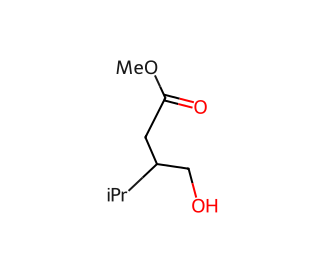 COC(=O)CC(CO)C(C)C